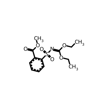 CCOC(=NS(=O)(=O)c1ccccc1C(=O)OC)OCC